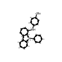 CC(C)(C)c1ccc(Nc2cccc3c4ccccc4n(-c4ccccc4)c23)cc1